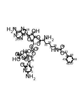 Nc1ccn([C@H]2C[C@H](OP(=O)(O)OC[C@H]3O[C@@H](n4cnc5c(N)ncnc54)[C@H](O)[C@@H]3OC(=O)C(N)CCCCNC(=O)OCc3ccccc3)[C@H](COP(=O)(O)O)O2)c(=O)n1